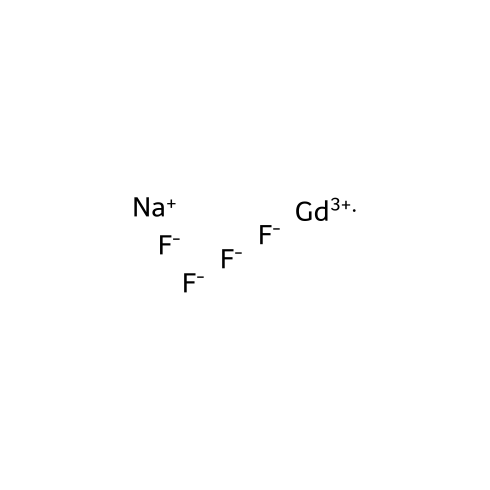 [F-].[F-].[F-].[F-].[Gd+3].[Na+]